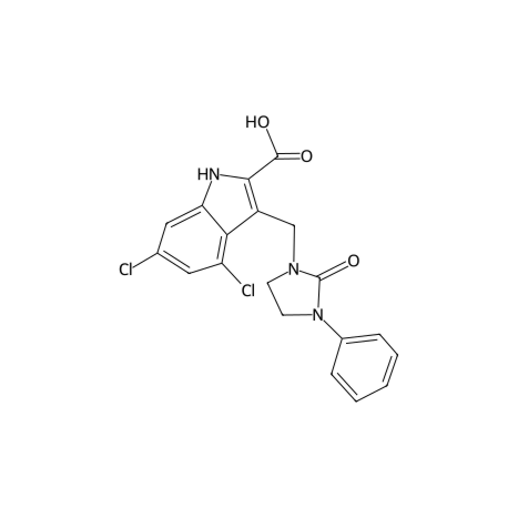 O=C(O)c1[nH]c2cc(Cl)cc(Cl)c2c1CN1CCN(c2ccccc2)C1=O